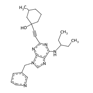 CCC(CC)Nc1nc(C#CC2(O)CCCC(C)C2)nc2c1ncn2Cc1cccnc1